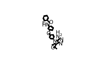 CC1OCc2c1c1ncnc(N)c1n2-c1ccc(Oc2cccc(NC(=O)c3ccccc3F)c2)cc1